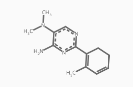 CC1=C(c2ncc(N(C)C)c(N)n2)CCC=C1